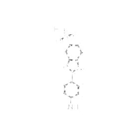 Nc1ccc(-c2nc3ccc(S(=O)(=O)O)cc3o2)cc1